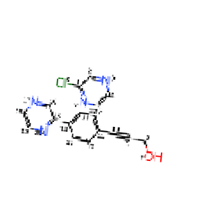 Clc1cnccn1.OCC#Cc1ccc(-c2cnccn2)cc1